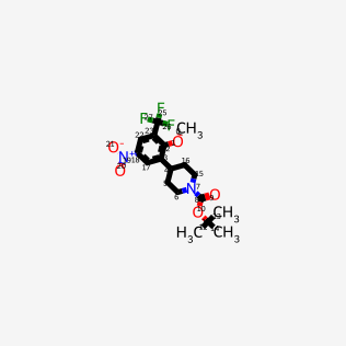 COc1c(C2CCN(C(=O)OC(C)(C)C)CC2)cc([N+](=O)[O-])cc1C(F)(F)F